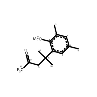 COc1c(C)cc(C)cc1C(C)(C)CC(=O)C(F)(F)F